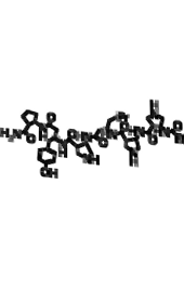 CCC(=O)NC1CNCC1C(=O)NC1CNCC1C(=O)N[C@H](CC(=O)NC1CNCC1C(=O)N[C@H](CC(=O)NC1CCCC1C(N)=O)Cc1ccc(O)cc1)CC(C)C